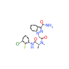 C[C@@H](C(=O)Nc1cccc(Cl)c1F)N(C)C(=O)Cn1nc(C(N)=O)c2ccccc21